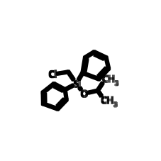 CC(C)O[Si](CCl)(c1ccccc1)c1ccccc1